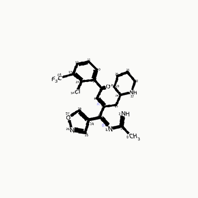 CC(=N)/N=C(\C(=C\C(=O)c1cccc(C(F)(F)F)c1Cl)CC1CCCCN1)c1cnoc1